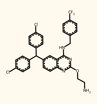 NCCOc1nc(NCc2ccc(C(F)(F)F)cc2)c2cc(C(c3ccc(Cl)cc3)c3ccc(Cl)cc3)ccc2n1